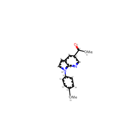 COC(=O)c1cnc2c(ccn2-c2ccc(OC)cc2)c1